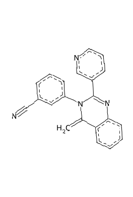 C=C1c2ccccc2N=C(c2cccnc2)N1c1cccc(C#N)c1